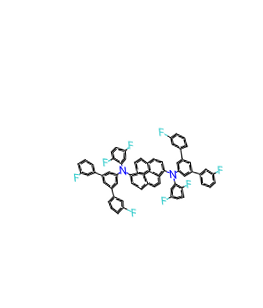 Fc1cccc(-c2cc(-c3cccc(F)c3)cc(N(c3cc(F)ccc3F)c3ccc4ccc5c(N(c6cc(-c7cccc(F)c7)cc(-c7cccc(F)c7)c6)c6cc(F)ccc6F)ccc6ccc3c4c65)c2)c1